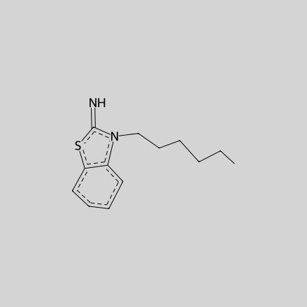 CCCCCCn1c(=N)sc2ccccc21